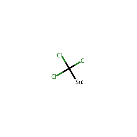 Cl[C](Cl)(Cl)[Sn]